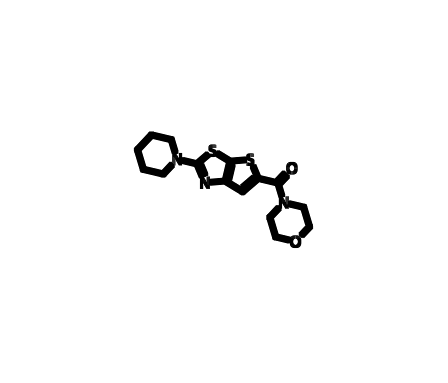 O=C(c1cc2nc(N3CCCCC3)sc2s1)N1CCOCC1